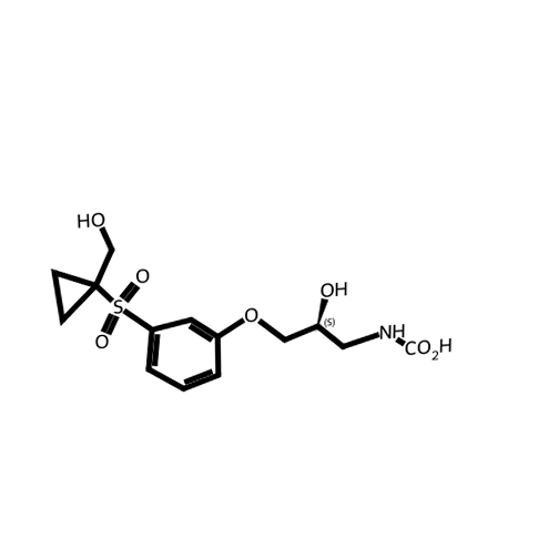 O=C(O)NC[C@H](O)COc1cccc(S(=O)(=O)C2(CO)CC2)c1